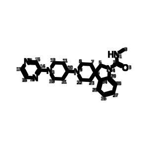 CNC(=O)N1CC2(CCN(C3CCN(c4cnccn4)CC3)CC2)c2ccccc21